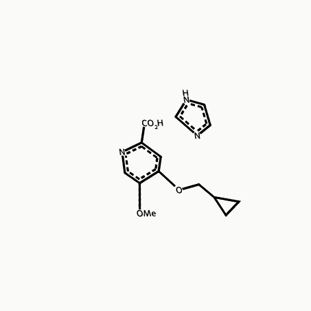 COc1cnc(C(=O)O)cc1OCC1CC1.c1c[nH]cn1